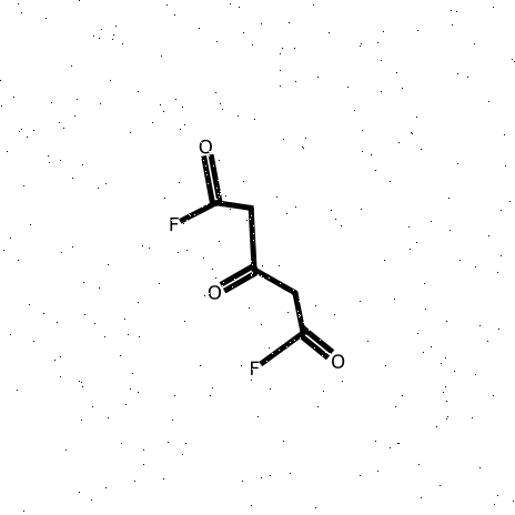 O=C(F)CC(=O)CC(=O)F